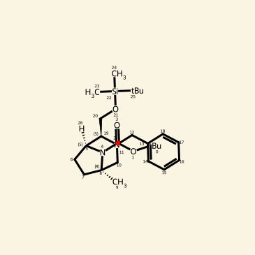 CC(C)(C)OC(=O)N1[C@H]2CC[C@]1(C)CN(Cc1ccccc1)[C@@H]2CO[Si](C)(C)C(C)(C)C